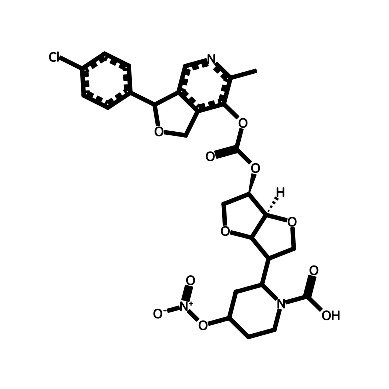 Cc1ncc2c(c1OC(=O)O[C@@H]1COC3C(C4CC(O[N+](=O)[O-])CCN4C(=O)O)CO[C@@H]31)COC2c1ccc(Cl)cc1